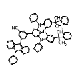 CC(C)(c1ccccc1)c1ccc2c(c1)B1c3cc(C(C)(C)c4ccccc4)ccc3N(c3ccccc3)c3cc(-c4cc(C#N)cc(-c5c6ccccc6c(-c6ccccc6)c6ccccc56)c4)cc(c31)N2c1ccccc1